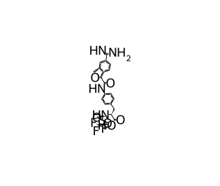 N=C(N)c1ccc2c(C(=O)Nc3ccc(C[C@H](NS(=O)(=O)C(F)(F)F)C(=O)O)cc3)occ2c1